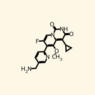 COc1c(-c2ccc(CN)cn2)c(F)cn2c(=O)[nH]c(=O)c(C3CC3)c12